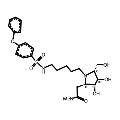 CNC(=O)C[C@@H]1[C@H](O)[C@H](O)[C@@H](CO)N1CCCCCNS(=O)(=O)c1ccc(Oc2ccccc2)cc1